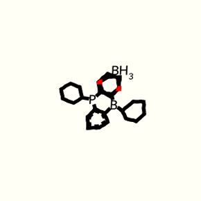 B.c1ccc(P(C2CCCCC2)C2CCCCC2)c(B(C2CCCCC2)C2CCCCC2)c1